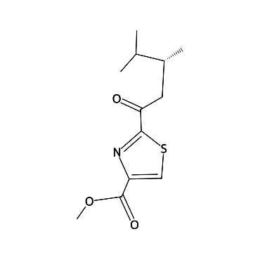 COC(=O)c1csc(C(=O)C[C@@H](C)C(C)C)n1